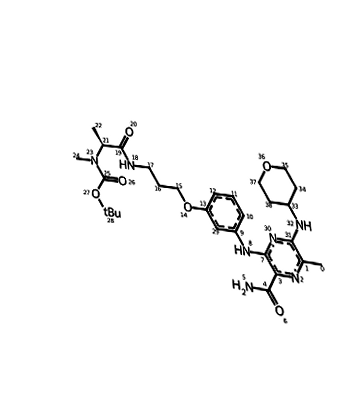 Cc1nc(C(N)=O)c(Nc2cccc(OCCCNC(=O)[C@H](C)N(C)C(=O)OC(C)(C)C)c2)nc1NC1CCOCC1